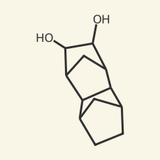 OC1C(O)C2CC1C1C3CCC(C3)C21